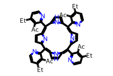 CCc1ccnc(-c2c3nc(c(-c4nccc(CC)c4C(C)=O)c4ccc([nH]4)c(-c4nccc(CC)c4C(C)=O)c4nc(c(-c5nccc(CC)c5C(C)=O)c5ccc2[nH]5)C=C4)C=C3)c1C(C)=O